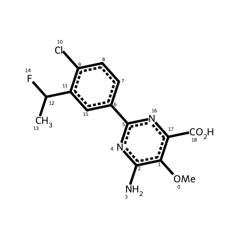 COc1c(N)nc(-c2ccc(Cl)c(C(C)F)c2)nc1C(=O)O